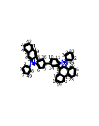 c1ccc(-n2c3ccc(-c4ccc5c(c4)c4c6ccccc6c6ccccc6c4n5-c4ccccc4)cc3c3cc4ccccc4cc32)cc1